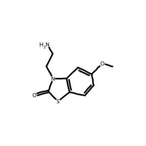 COc1ccc2sc(=O)n(CCN)c2c1